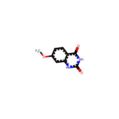 O=c1[nH]c(=O)c2ccc(OC(F)(F)F)cc2[nH]1